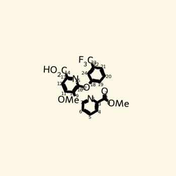 COC(=O)c1ccccn1.COc1ccc(C(=O)O)nc1Oc1cccc(C(F)(F)F)c1